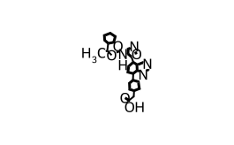 CC(OC(=O)Nc1cnoc1-c1ccc(-c2ccc(CC(=O)O)cc2)c2ncncc12)c1ccccc1